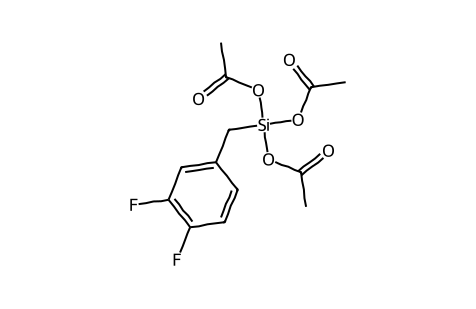 CC(=O)O[Si](Cc1ccc(F)c(F)c1)(OC(C)=O)OC(C)=O